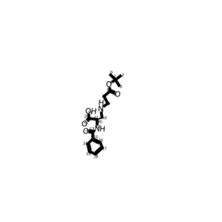 CC(C)(C)OC(=O)CCNC[C@@H](NC(=O)c1ccccc1)C(=O)O